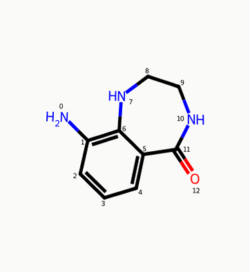 Nc1cccc2c1NCCNC2=O